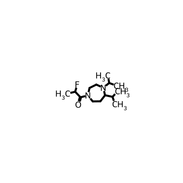 CC(F)C(=O)N1CCC(C(C)C)N(C(C)C)CC1